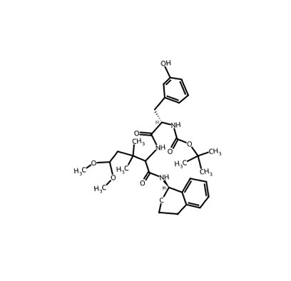 COC(CC(C)(C)C(NC(=O)[C@H](Cc1cccc(O)c1)NC(=O)OC(C)(C)C)C(=O)N[C@@H]1CCCc2ccccc21)OC